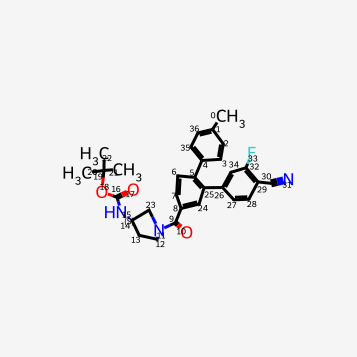 Cc1ccc(-c2ccc(C(=O)N3CC[C@H](NC(=O)OC(C)(C)C)C3)cc2-c2ccc(C#N)c(F)c2)cc1